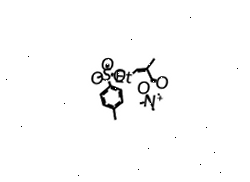 CCC=C(C)C(=O)O[N+](C)(C)C.Cc1ccc(S(=O)(=O)[O-])cc1